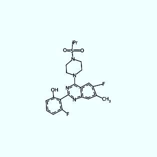 Cc1cc2nc(-c3c(O)cccc3F)nc(N3CCN(S(=O)(=O)C(C)C)CC3)c2cc1F